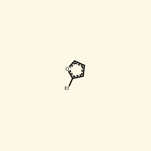 CCc1c[c]co1